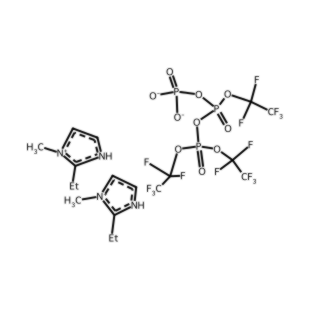 CCc1[nH]cc[n+]1C.CCc1[nH]cc[n+]1C.O=P([O-])([O-])OP(=O)(OC(F)(F)C(F)(F)F)OP(=O)(OC(F)(F)C(F)(F)F)OC(F)(F)C(F)(F)F